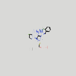 CNc1c(N(N)Cc2ccccc2Cl)nc(SCC(C)O)nc1N1CCC(F)(F)C1